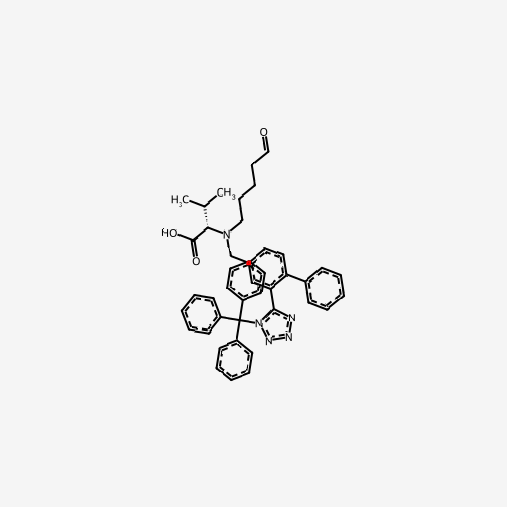 CC(C)[C@@H](C(=O)O)N(CCCCC=O)Cc1ccc(-c2ccccc2)c(-c2nnnn2C(c2ccccc2)(c2ccccc2)c2ccccc2)c1